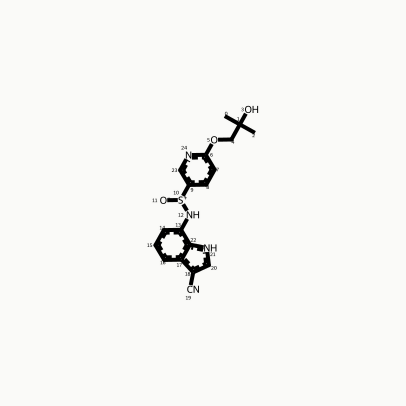 CC(C)(O)COc1ccc([S+]([O-])Nc2cccc3c(C#N)c[nH]c23)cn1